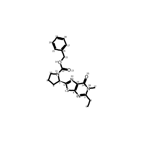 CCc1nc2sc([C@H]3CCCN3C(=O)OCc3ccccc3)nc2c(=O)n1C